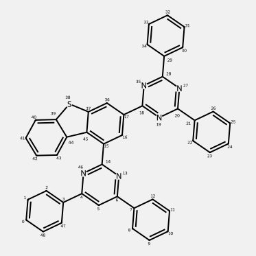 c1ccc(-c2cc(-c3ccccc3)nc(-c3cc(-c4nc(-c5ccccc5)nc(-c5ccccc5)n4)cc4sc5ccccc5c34)n2)cc1